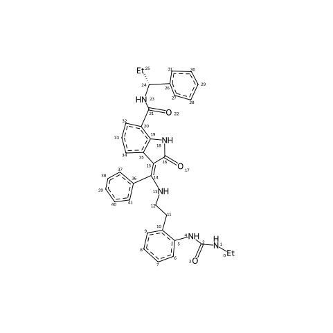 CCNC(=O)Nc1ccccc1CCN/C(=C1\C(=O)Nc2c(C(=O)N[C@H](CC)c3ccccc3)cccc21)c1ccccc1